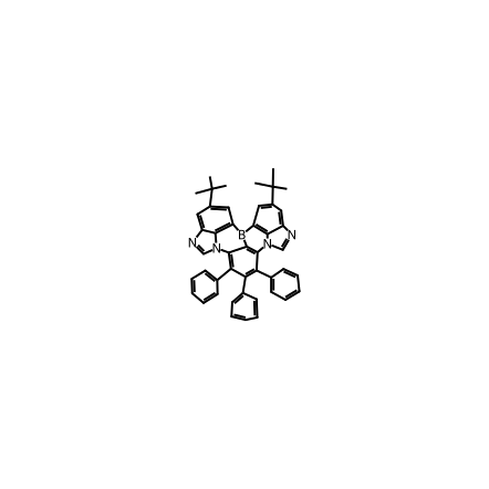 CC(C)(C)c1cc2c3c(c1)ncn3-c1c3c(c(-c4ccccc4)c(-c4ccccc4)c1-c1ccccc1)-n1cnc4cc(C(C)(C)C)cc(c41)B32